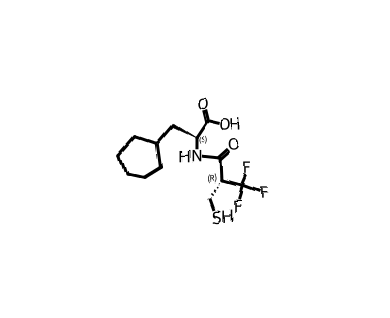 O=C(O)[C@H](CC1CCCCC1)NC(=O)[C@@H](CS)C(F)(F)F